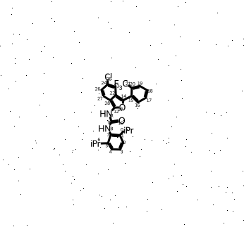 CC(C)c1cccc(C(C)C)c1NC(=O)Nc1oc(-c2ccccc2C(F)(F)F)c2cc(Cl)ccc12